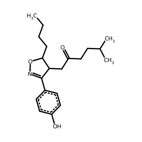 CCCCC1ON=C(c2ccc(O)cc2)C1CC(=O)CCC(C)C